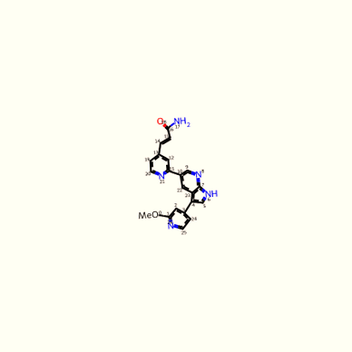 COc1cc(-c2c[nH]c3ncc(-c4cc(C=CC(N)=O)ccn4)cc23)ccn1